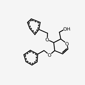 OCC1OC=CC(OCc2ccccc2)C1OCc1ccccc1